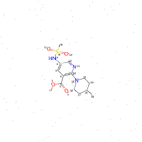 COC(=O)c1cc(NS(C)(=O)=O)cnc1N1CCC(C)CC1